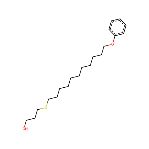 OCCCSCCCCCCCCCCCOc1ccccc1